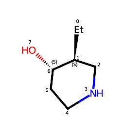 CC[C@H]1CNCC[C@@H]1O